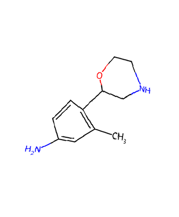 Cc1cc(N)ccc1C1CNCCO1